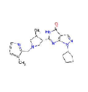 Cc1cccnc1CN1C[C@@H](C)[C@H](c2nc3c(cnn3C3CCCC3)c(=O)[nH]2)C1